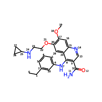 CCc1cccc(Nc2c(C(N)=O)cnc3cc(OC)c(OCCNC4CC4)cc23)c1